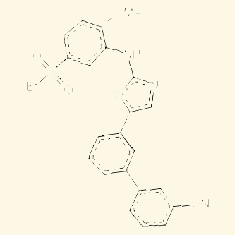 CCS(=O)(=O)c1ccc(OC)c(Nc2ncc(-c3cccc(-c4cccc(C#N)c4)c3)o2)c1